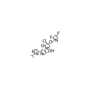 Cc1cnc(-c2ccnc(C(C)C)n2)cc1-n1c(O)cc(OCc2ncc(F)cc2F)c(Cl)c1=O